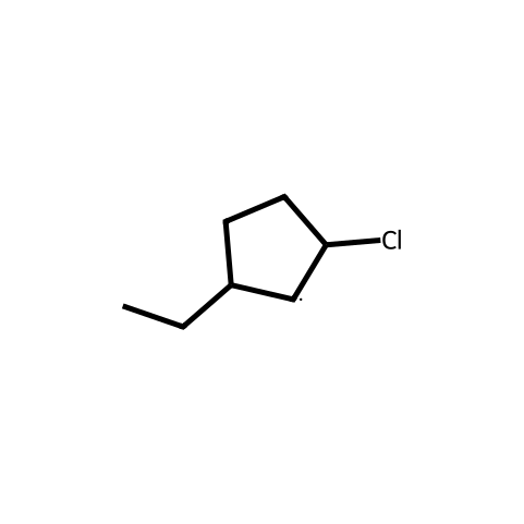 CCC1[CH]C(Cl)CC1